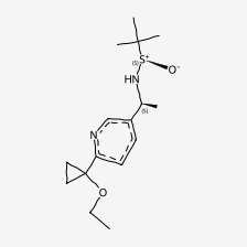 CCOC1(c2ccc([C@H](C)N[S@+]([O-])C(C)(C)C)cn2)CC1